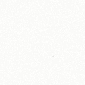 CCc1ccc(CCc2ccc(F)nc2F)cc1